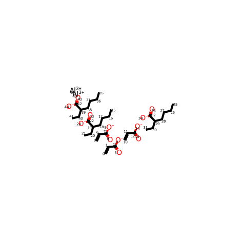 C=CC(=O)[O-].C=CC(=O)[O-].C=CC(=O)[O-].CCCCC(CC)C(=O)[O-].CCCCC(CC)C(=O)[O-].CCCCC(CC)C(=O)[O-].[Al+3].[Al+3]